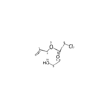 C=CCOC(=O)CCl.CCO